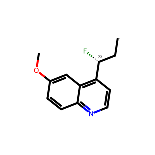 [CH2]C[C@@H](F)c1ccnc2ccc(OC)cc12